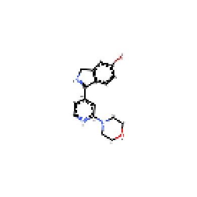 Brc1ccc2c(c1)CN=C2c1ccnc(N2CCOCC2)c1